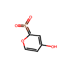 O=S(=O)=c1cc(O)cco1